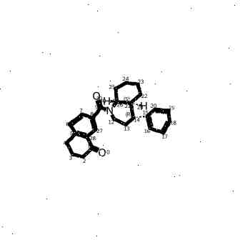 O=C1CCCc2ccc(C(=O)N3CC[C@@H](c4ccccc4)[C@@H]4CCCC[C@H]43)cc21